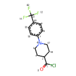 O=C(Cl)C1CCN(c2ccc(C(F)(F)F)cc2)CC1